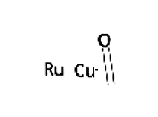 C=O.[Cu].[Ru]